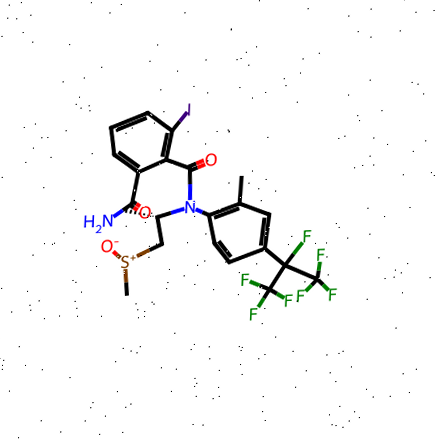 Cc1cc(C(F)(C(F)(F)F)C(F)(F)F)ccc1N(C(=O)c1c(I)cccc1C(N)=O)[C@@H](C)C[S+](C)[O-]